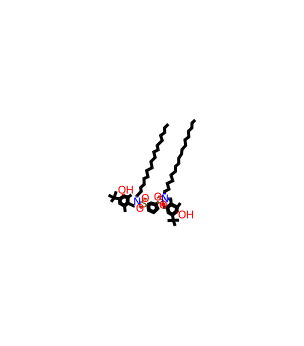 CCCCCCCCCCCCCCCCCCN(Cc1c(C)cc(C(C)(C)C)c(O)c1C)S(=O)(=O)c1cccc(S(=O)(=O)N(CCCCCCCCCCCCCCCCCC)Cc2c(C)cc(C(C)(C)C)c(O)c2C)c1